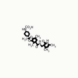 Cc1cc(C)c(CNC(=O)c2cc(C)c3c(c2C)OC(C)([C@H]2CC[C@H](NC(=O)O)CC2)O3)c(=O)[nH]1